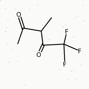 CC(=O)C(C)C(=O)C(F)(F)F